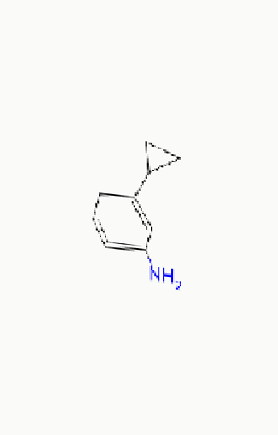 NC1=C=CCC(C2CC2)=C1